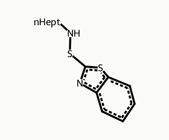 CCCCCCCNSc1nc2ccccc2s1